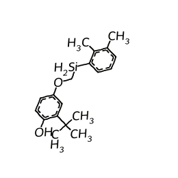 Cc1cccc([SiH2]COc2ccc(O)c(C(C)(C)C)c2)c1C